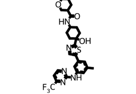 Cc1cc(Nc2nccc(C(F)(F)F)n2)cc(-c2cnc(C3(O)CCC(NC(=O)C4CCCOC4)CC3)s2)c1